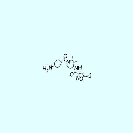 CC1C(NC(=O)c2cc(C3CC3)on2)CCN(C(=O)[C@H]2CC[C@H](N)CC2)C1C